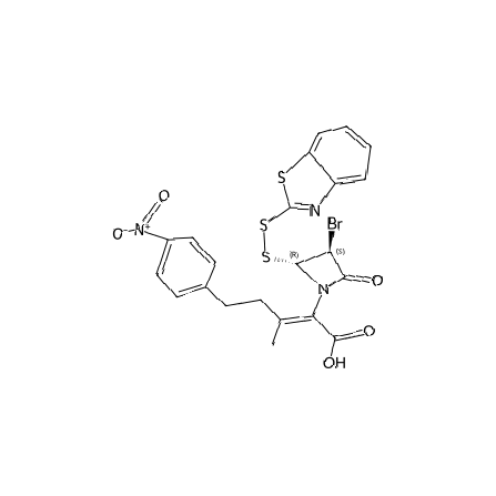 CC(CCc1ccc([N+](=O)[O-])cc1)=C(C(=O)O)N1C(=O)[C@H](Br)[C@H]1SSc1nc2ccccc2s1